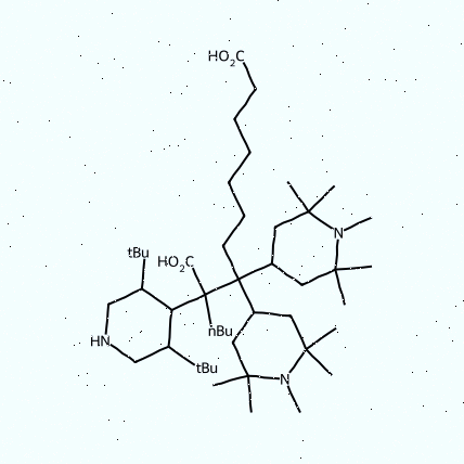 CCCCC(C(=O)O)(C1C(C(C)(C)C)CNCC1C(C)(C)C)C(CCCCCCC(=O)O)(C1CC(C)(C)N(C)C(C)(C)C1)C1CC(C)(C)N(C)C(C)(C)C1